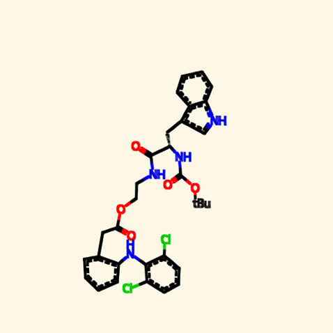 CC(C)(C)OC(=O)N[C@@H](Cc1c[nH]c2ccccc12)C(=O)NCCOC(=O)Cc1ccccc1Nc1c(Cl)cccc1Cl